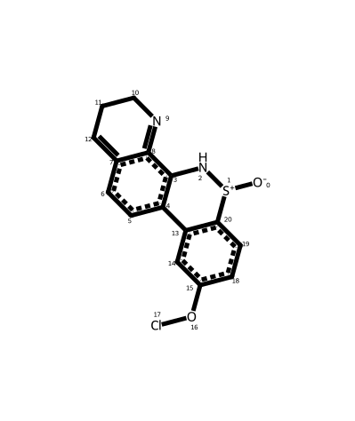 [O-][S+]1Nc2c(ccc3c2=NCCC=3)-c2cc(OCl)ccc21